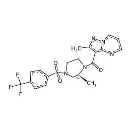 Cc1nn2cccnc2c1C(=O)N1CCN(S(=O)(=O)c2ccc(C(F)(F)F)cc2)C[C@@H]1C